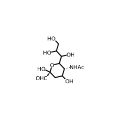 CC(=O)N[C@@H]1C(O)C[C@@](O)(C=O)OC1C(O)C(O)CO